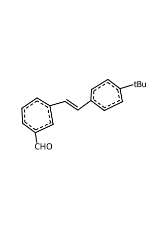 CC(C)(C)c1ccc(C=Cc2cccc(C=O)c2)cc1